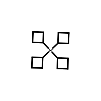 C1CC([N+](C2CCC2)(C2CCC2)C2CCC2)C1